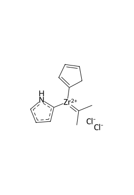 C[C](C)=[Zr+2]([C]1=CC=CC1)[c]1ccc[nH]1.[Cl-].[Cl-]